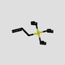 C=CCS(C(C)(C)C)(C(C)(C)C)C(C)(C)C